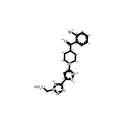 O=C(O)Cn1nnc(-c2cc(N3CCC(C(=O)c4ccccc4Br)CC3)no2)n1